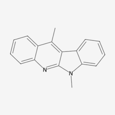 Cc1c2ccccc2nc2c1c1ccccc1n2C